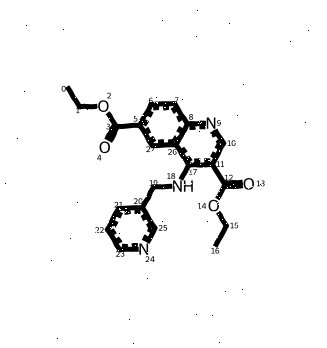 CCOC(=O)c1ccc2ncc(C(=O)OCC)c(NCc3cccnc3)c2c1